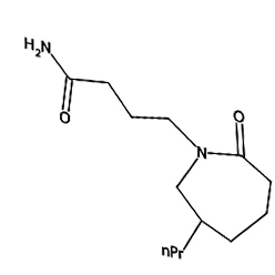 CCCC1CCCC(=O)N(CCCC(N)=O)C1